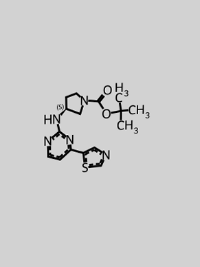 CC(C)(C)OC(=O)N1CC[C@H](Nc2nccc(-c3cncs3)n2)C1